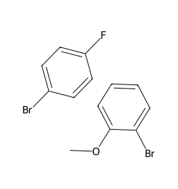 COc1ccccc1Br.Fc1ccc(Br)cc1